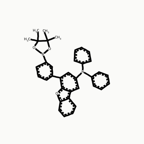 CC1(C)OB(c2cccc(-c3cc(N(c4ccccc4)c4ccccc4)cc4c3oc3ccccc34)c2)OC1(C)C